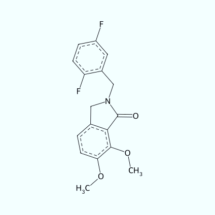 COc1ccc2c(c1OC)C(=O)N(Cc1cc(F)ccc1F)C2